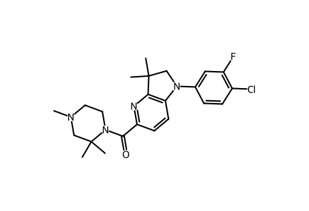 CN1CCN(C(=O)c2ccc3c(n2)C(C)(C)CN3c2ccc(Cl)c(F)c2)C(C)(C)C1